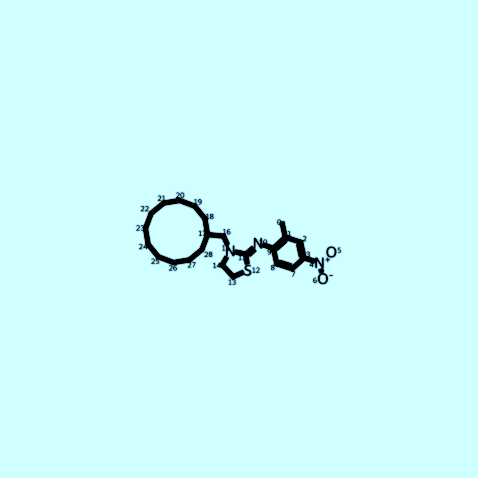 Cc1cc([N+](=O)[O-])ccc1/N=C1\SCCN1CC1CCCCCCCCCCC1